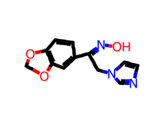 ON=C(Cn1ccnc1)c1ccc2c(c1)OCO2